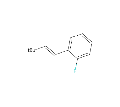 CC(C)(C)/C=C/c1ccccc1F